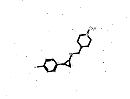 O=C(O)N1CCC(CNC2CC2c2ccc(I)cc2)CC1